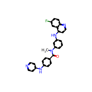 CN(C(=O)c1ccc(Nc2ccncc2)cc1)c1cccc(Nc2ccnc3ccc(F)cc23)c1